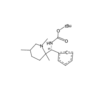 CC1CCC(C)([C@H](NC(=O)OC(C)(C)C)c2ccccc2)N(C)C1